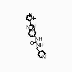 Cn1nccc1-c1nc2ccc(NC(=O)NCc3ccncc3)cn2n1